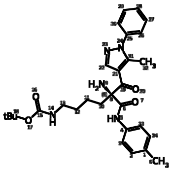 Cc1ccc(NC(=O)[C@](N)(CCCCNC(=O)OC(C)(C)C)C(=O)c2cnn(-c3ccccc3)c2C)cc1